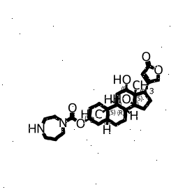 C[C@]12CC[C@H](OC(=O)N3CCCNCC3)C[C@H]1CC[C@@H]1[C@@H]2C[C@@H](O)[C@]2(C)[C@@H](C3=CC(=O)OC3)CC[C@]12O